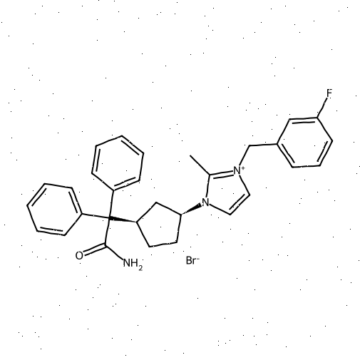 Cc1n([C@H]2CC[C@@H](C(C(N)=O)(c3ccccc3)c3ccccc3)C2)cc[n+]1Cc1cccc(F)c1.[Br-]